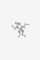 CC/C=C(\N)[Si](OCC)(OCC)OCC